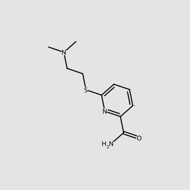 CN(C)CCSc1cc[c]c(C(N)=O)n1